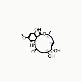 COc1cc(O)c2c(c1)NC(=O)CC[C@H](O)[C@H](O)/C=C/C[C@H](C)OC2=O